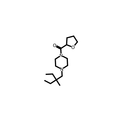 CCC(C)(CC)CN1CCN(C(=O)C2CCCO2)CC1